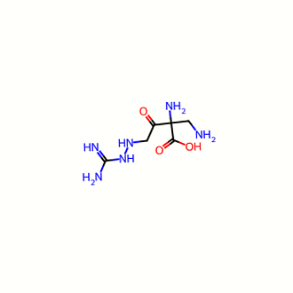 N=C(N)NNCC(=O)C(N)(CN)C(=O)O